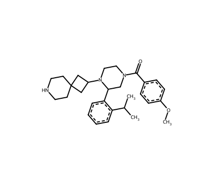 COc1ccc(C(=O)N2CCN(C3CC4(CCNCC4)C3)C(c3ccccc3C(C)C)C2)cc1